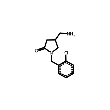 NCC1CC(=O)N(Cc2ccccc2Cl)C1